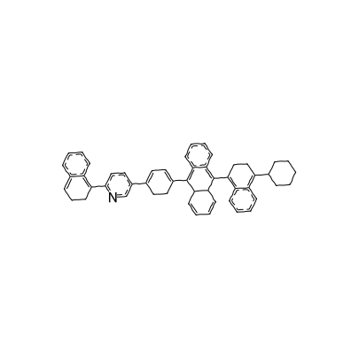 C1=CC2C(C3=CC=C(c4ccc(C5=c6ccccc6=CCC5)nc4)CC3)=c3ccccc3=C(C3=c4ccccc4=C(C4CCCCC4)CC3)C2C=C1